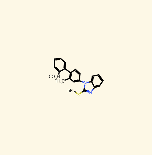 CCCSc1nc2ccccc2n1-c1ccc(-c2ccccc2C(=O)O)c(C)c1